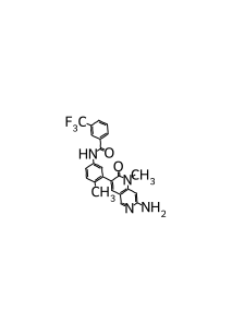 Cc1ccc(NC(=O)c2cccc(C(F)(F)F)c2)cc1-c1cc2cnc(N)cc2n(C)c1=O